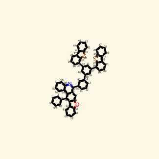 c1ccc(-c2c3c(cc4c(-c5cccc(-c6cc(-c7cccc8c7sc7ccccc78)cc(-c7cccc8c7sc7ccccc78)c6)c5)nc5ccccc5c24)oc2ccccc23)cc1